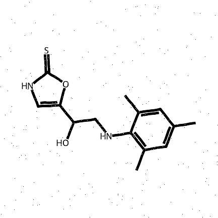 Cc1cc(C)c(NCC(O)c2c[nH]c(=S)o2)c(C)c1